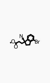 COC(=O)CCC1(C#N)CCc2c(Br)cccc21